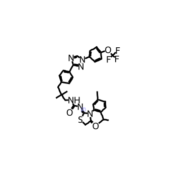 Cc1ccc(C(C)C)c(N2C(=O)CS/C2=N\C(=O)NCC(C)(C)Cc2ccc(-c3ncn(-c4ccc(OC(F)(F)F)cc4)n3)cc2)c1